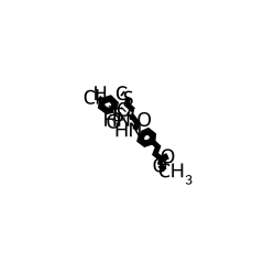 COC(=O)CCc1ccc(NC(=O)[C@H](CCSC)NS(=O)(=O)c2ccc(Cl)cc2)cc1